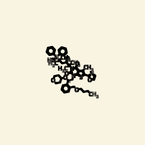 CCCCOCc1ccccc1[C@H](Cn1c(=O)n(C(C)(C)C(=O)CC(C)(C)[Si](O)(c2ccccc2)c2ccccc2)c(=O)c2c(C)c(-c3ncco3)sc21)OC1CCOCC1